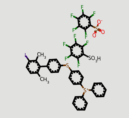 Cc1ccc(I)c(C)c1-c1ccc(Sc2ccc([S+](c3ccccc3)c3ccccc3)cc2)cc1.O=S(=O)(O)c1c(F)c(F)c(F)c(F)c1F.O=S(=O)([O-])c1c(F)c(F)c(F)c(F)c1F